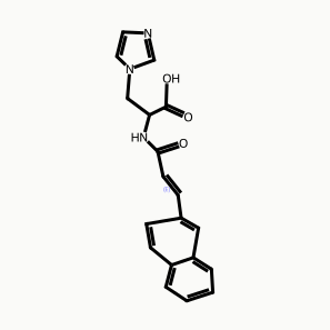 O=C(/C=C/c1ccc2ccccc2c1)NC(Cn1ccnc1)C(=O)O